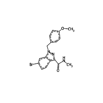 CNC(=O)c1nn(Cc2ccc(OC)cc2)c2cc(Br)ccc12